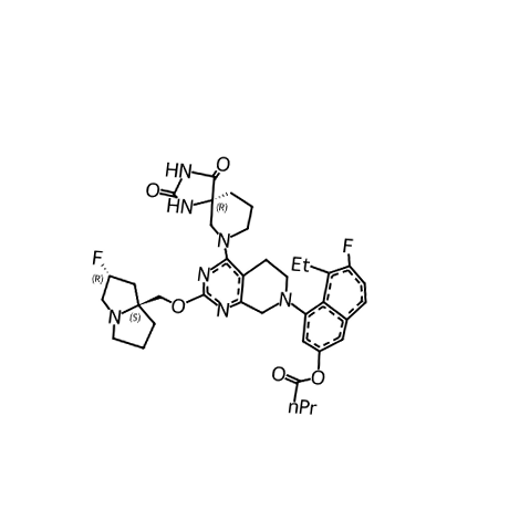 CCCC(=O)Oc1cc(N2CCc3c(nc(OC[C@@]45CCCN4C[C@H](F)C5)nc3N3CCC[C@]4(C3)NC(=O)NC4=O)C2)c2c(CC)c(F)ccc2c1